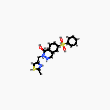 Cc1nc(Cn2ncc3cc(S(=O)(=O)c4ccccc4)ccc3c2=O)cs1